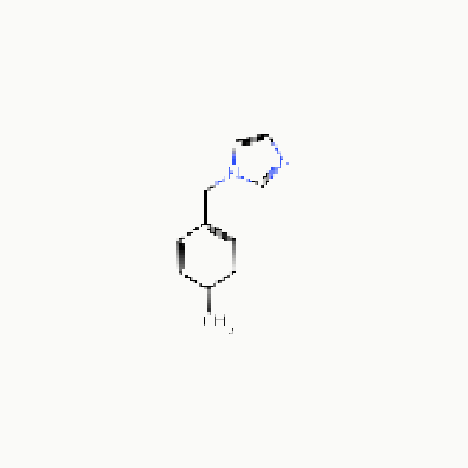 CC1C=CC(Cn2ccnc2)=CC1